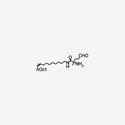 CCCCCCCC/C=C\CCCCCCCCNC(=O)C(C)(N)CCC=O